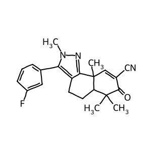 Cn1nc2c(c1-c1cccc(F)c1)CCC1C(C)(C)C(=O)C(C#N)=CC21C